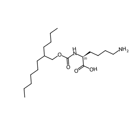 CCCCCCC(CCCC)COC(=O)N[C@@H](CCCCN)C(=O)O